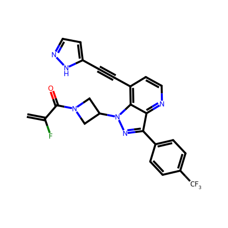 C=C(F)C(=O)N1CC(n2nc(-c3ccc(C(F)(F)F)cc3)c3nccc(C#Cc4ccn[nH]4)c32)C1